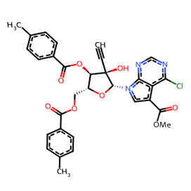 C#C[C@@]1(O)[C@H](OC(=O)c2ccc(C)cc2)[C@@H](COC(=O)c2ccc(C)cc2)O[C@H]1n1cc(C(=O)OC)c2c(Cl)ncnc21